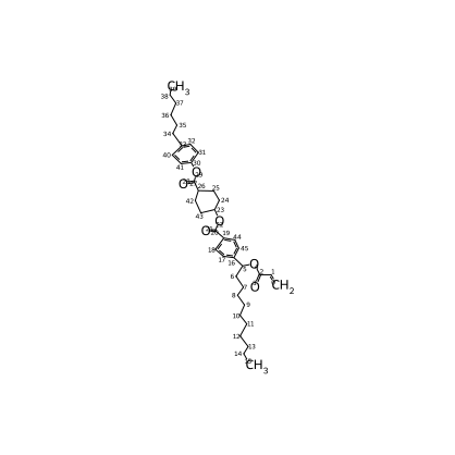 C=CC(=O)OC(CCCCCCCCCC)c1ccc(C(=O)OC2CCC(C(=O)Oc3ccc(CCCCCC)cc3)CC2)cc1